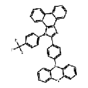 FC(F)(F)c1ccc(-n2c(-c3ccc(N4c5ccccc5Sc5ccccc54)cc3)nc3c4ccccc4c4ccccc4c32)cc1